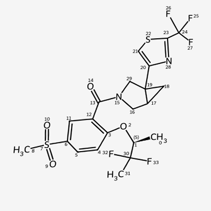 C[C@H](Oc1ccc(S(C)(=O)=O)cc1C(=O)N1CC2CC2(c2csc(C(F)(F)F)n2)C1)C(C)(F)F